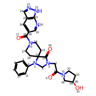 O=C(CN1CN(c2ccccc2)C2(CCN(C(=O)c3cnc4[nH]ncc4c3)CC2)C1=O)N1CC[C@@H](O)C1